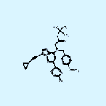 COc1ccc(CN(CC(=O)OC(C)(C)C)c2cc(-c3cnc(N)nc3)nn3c(C#CC4CC4)cnc23)cc1